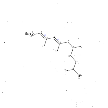 CCOC(=O)/C=C(C)/C=C(\C)CC(C)CCC(C)C(C)C